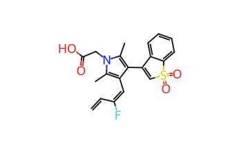 C=C/C(F)=C\c1c(C2=CS(=O)(=O)c3ccccc32)c(C)n(CC(=O)O)c1C